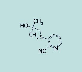 CC(C)(O)CSc1cccnc1C#N